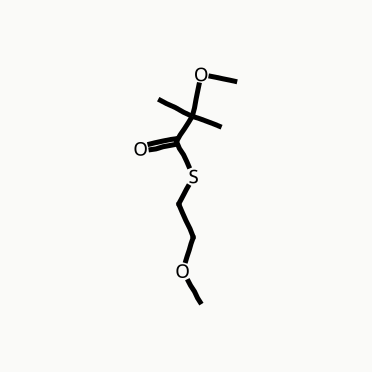 COCCSC(=O)C(C)(C)OC